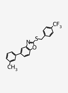 Cc1cccc(-c2ccc3oc(SCc4ccc(C(F)(F)F)cc4)nc3c2)c1